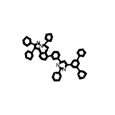 c1ccc(-c2cc(-c3ccccc3)cc(-c3cc(-c4cccc(-c5cccc6c5cc(-c5ccccc5)n5nc(-c7ccccc7)c(-c7ccccc7)c65)c4)nc(-c4ccccc4)n3)c2)cc1